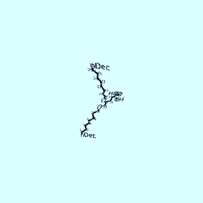 CCCCCCCCCCCCCCCCCCOCC(CCP(=O)(O)O)OCCCCCCCCCCCCCCCCCC